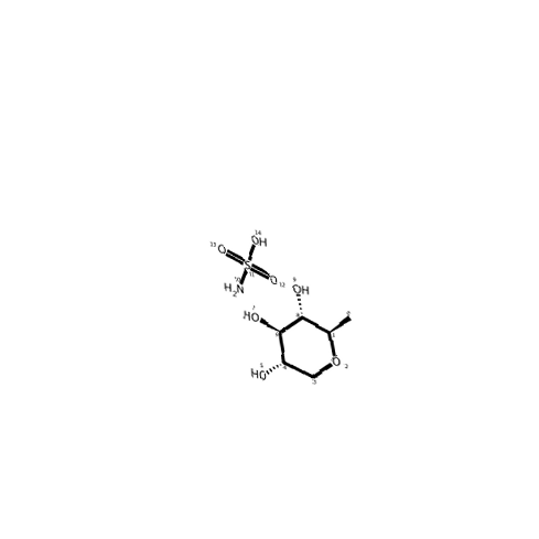 C[C@H]1O[CH][C@H](O)[C@@H](O)[C@@H]1O.NS(=O)(=O)O